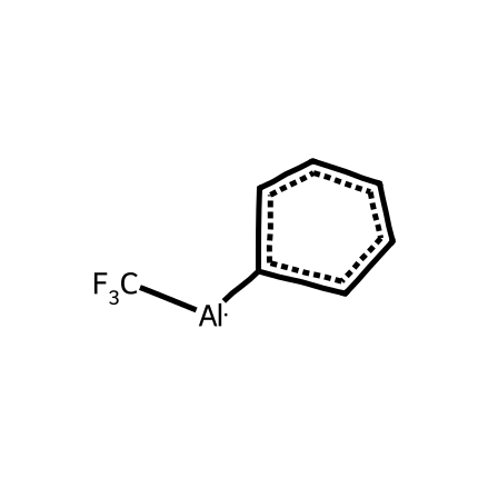 F[C](F)(F)[Al][c]1ccccc1